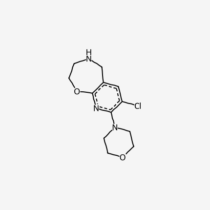 Clc1cc2c(nc1N1CCOCC1)OCCNC2